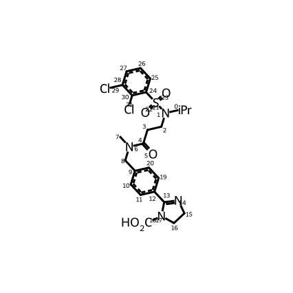 CC(C)N(CCC(=O)N(C)Cc1ccc(C2=NCCN2C(=O)O)cc1)S(=O)(=O)c1cccc(Cl)c1Cl